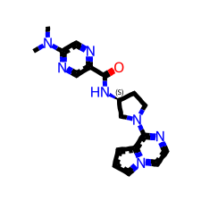 CN(C)c1cnc(C(=O)N[C@H]2CCN(c3nccn4cccc34)C2)cn1